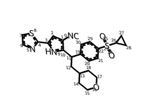 [C-]#[N+]c1cc(-c2nccs2)[nH]c1C(CC1CCOCC1)c1ccc(S(=O)(=O)C2CC2)cc1